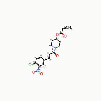 C=CC(=O)OC1CCN(C(=O)/C=C/c2ccc(Cl)c([N+](=O)[O-])c2)CC1